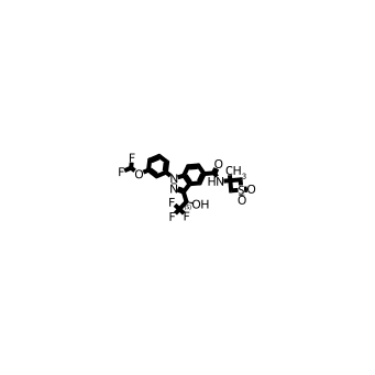 CC1(NC(=O)c2ccc3c(c2)c([C@H](O)C(F)(F)F)nn3-c2cccc(OC(F)F)c2)CS(=O)(=O)C1